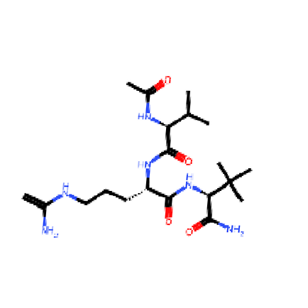 C=C(N)NCCC[C@H](NC(=O)[C@@H](NC(C)=O)C(C)C)C(=O)N[C@H](C(N)=O)C(C)(C)C